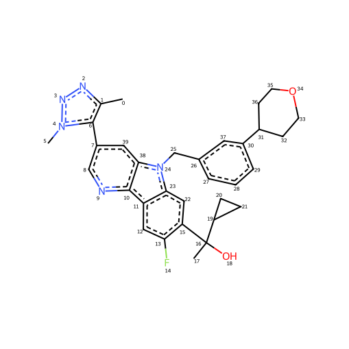 Cc1nnn(C)c1-c1cnc2c3cc(F)c(C(C)(O)C4CC4)cc3n(Cc3cccc(C4CCOCC4)c3)c2c1